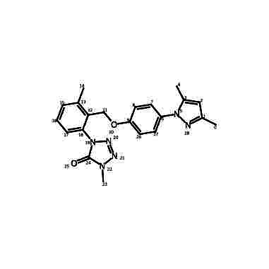 Cc1cc(C)n(-c2ccc(OCc3c(C)cccc3-n3nnn(C)c3=O)cc2)n1